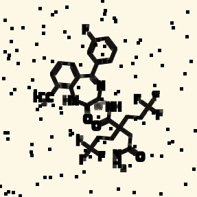 Cc1cccc2c1NC(=O)[C@@H](NC(=O)C(CCC(F)(F)F)(CCC(F)(F)F)CC(N)=O)N=C2c1cccc(F)c1